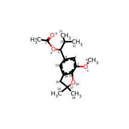 COc1cc(C(OC(C)=O)C(C)C)cc2c1OC(C)(C)C2